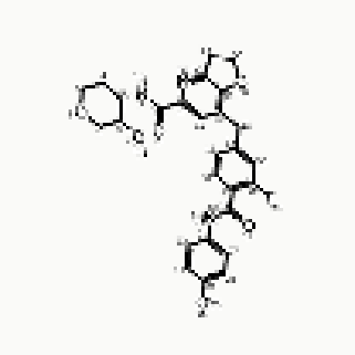 O=C(N[C@H]1CCOC[C@@H]1O)c1cc(Cc2ccc(C(=O)Nc3ccc(O)cc3)c(F)c2)c2c(n1)CCO2